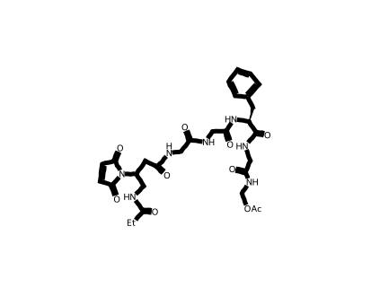 CCC(=O)NCC(CC(=O)NCC(=O)NCC(=O)N[C@@H](Cc1ccccc1)C(=O)NCC(=O)NCOC(C)=O)N1C(=O)C=CC1=O